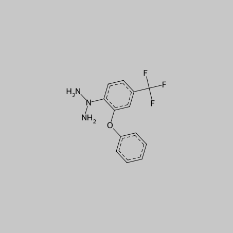 NN(N)c1ccc(C(F)(F)F)cc1Oc1ccccc1